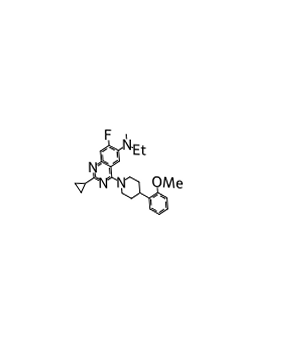 CCN(C)c1cc2c(N3CCC(c4ccccc4OC)CC3)nc(C3CC3)nc2cc1F